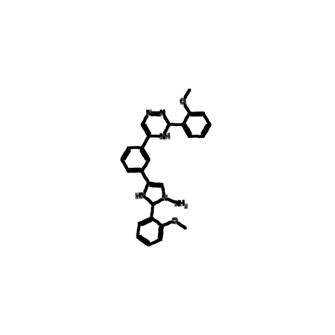 COc1ccccc1C1N=NC=C(c2cccc(C3=CN(N)C(c4ccccc4OC)N3)c2)N1